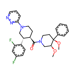 CO[C@H]1CN(C(=O)[C@@H]2CCN(c3cccnn3)C[C@H]2c2ccc(F)cc2F)CC[C@]1(OC)c1ccccc1